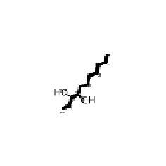 CCCCCCC[C@@H](O)[C@@H](O)CC